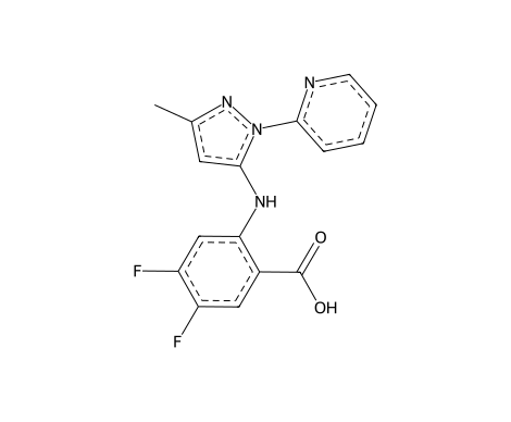 Cc1cc(Nc2cc(F)c(F)cc2C(=O)O)n(-c2ccccn2)n1